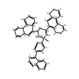 C[C@]1(c2ccc(-c3nccc4ccccc34)cc2)N=C(c2cc3c(c4c2CCC=C4)C=CCC3)CC(C2=CC3C=CC=CC3c3ccccc32)N1